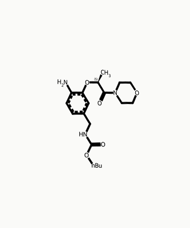 CCCCOC(=O)NCc1ccc(N)c(O[C@@H](C)C(=O)N2CCOCC2)c1